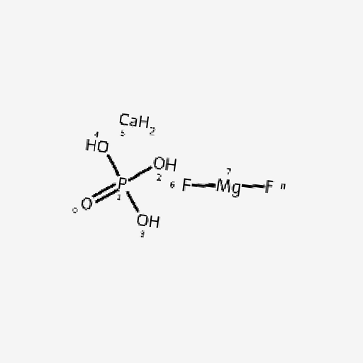 O=P(O)(O)O.[CaH2].[F][Mg][F]